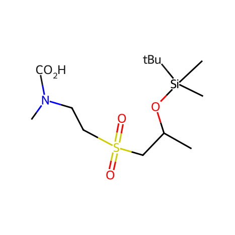 CC(CS(=O)(=O)CCN(C)C(=O)O)O[Si](C)(C)C(C)(C)C